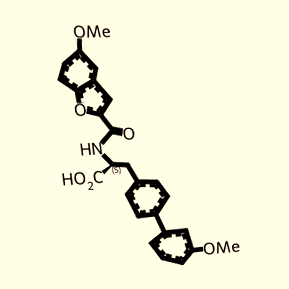 COc1cccc(-c2ccc(C[C@H](NC(=O)c3cc4cc(OC)ccc4o3)C(=O)O)cc2)c1